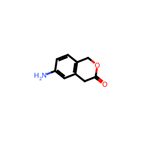 Nc1ccc2c(c1)CC(=O)OC2